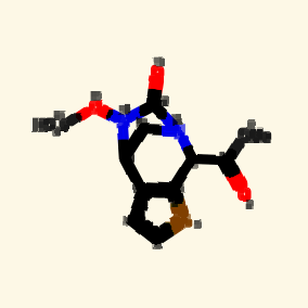 COC(=O)C1c2sccc2C2CN1C(=O)N2OS(=O)(=O)O